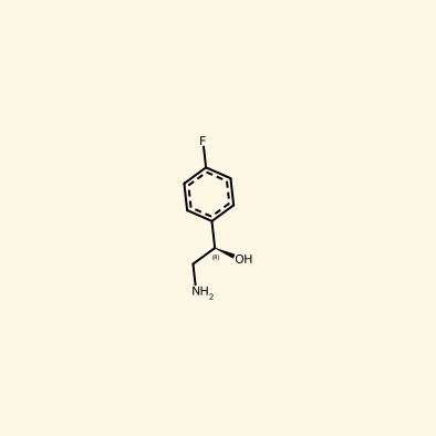 NC[C@H](O)c1ccc(F)cc1